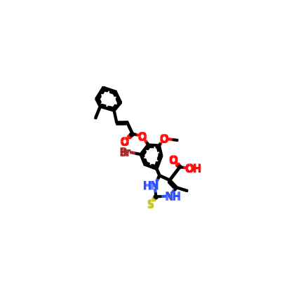 COc1cc(C2NC(=S)NC(C)=C2C(=O)O)cc(Br)c1OC(=O)C=Cc1ccccc1C